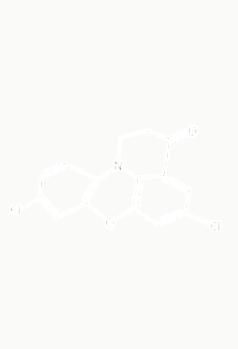 O=C1CCN2c3ccc(Cl)cc3Oc3cc(Cl)cc1c32